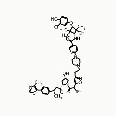 Cc1ncsc1-c1ccc([C@H](C)CC(=O)[C@@H]2C[C@@H](O)CN2C(=O)C(c2cc(CCN3CCN(c4ccc(C(=O)N[C@H]5C(C)(C)[C@H](Oc6ccc(C#N)c(Cl)c6)C5(C)C)cn4)CC3)no2)C(C)C)cc1